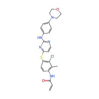 C=CC(=O)Nc1ccc(Sc2ccnc(Nc3ccc(N4CCOCC4)cc3)n2)c(Cl)c1C